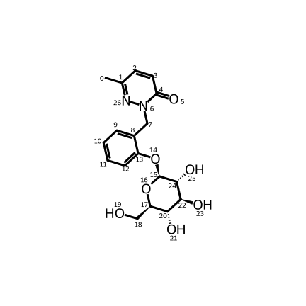 Cc1ccc(=O)n(Cc2ccccc2O[C@@H]2O[C@H](CO)[C@@H](O)[C@H](O)[C@H]2O)n1